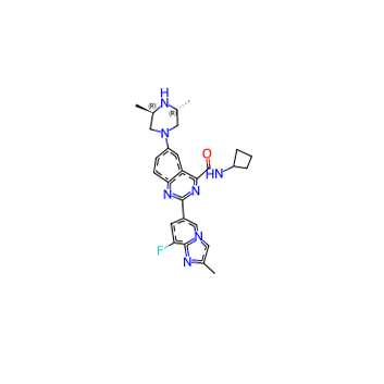 Cc1cn2cc(-c3nc(C(=O)NC4CCC4)c4cc(N5C[C@@H](C)N[C@H](C)C5)ccc4n3)cc(F)c2n1